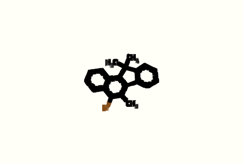 Cc1c2c(c3ccccc3c1Br)C(C)(C)c1ccccc1-2